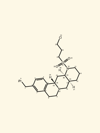 CC(C)Cc1ccc2c(c1)CCN1C[C@@H]3CCCN(S(=O)(=O)CCCCl)[C@@H]3C[C@@H]21